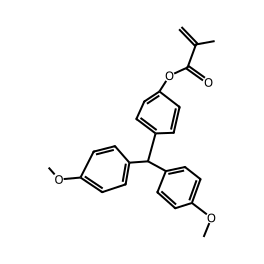 C=C(C)C(=O)Oc1ccc(C(c2ccc(OC)cc2)c2ccc(OC)cc2)cc1